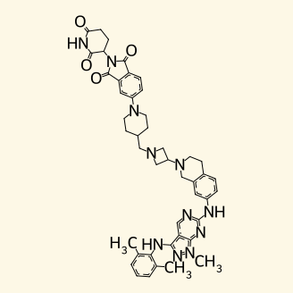 Cc1cccc(C)c1Nc1nn(C)c2nc(Nc3ccc4c(c3)CN(C3CN(CC5CCN(c6ccc7c(c6)C(=O)N(C6CCC(=O)NC6=O)C7=O)CC5)C3)CC4)ncc12